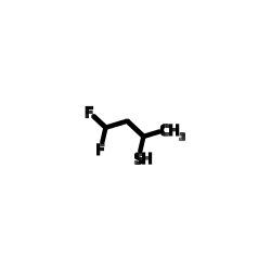 CC(S)CC(F)F